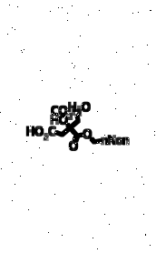 CCCCCCCCCCOC(=O)C(O)(CC(=O)O)CC(=O)O.O